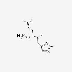 C/C(I)=C/C[C@H](OP)/C(C)=C/c1csc(C)n1